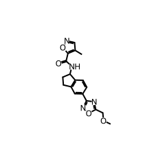 COCc1nc(-c2ccc3c(c2)CCC3NC(=O)c2oncc2C)no1